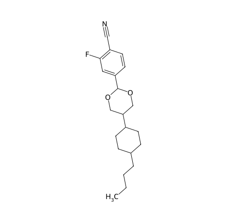 CCCCC1CCC(C2COC(c3ccc(C#N)c(F)c3)OC2)CC1